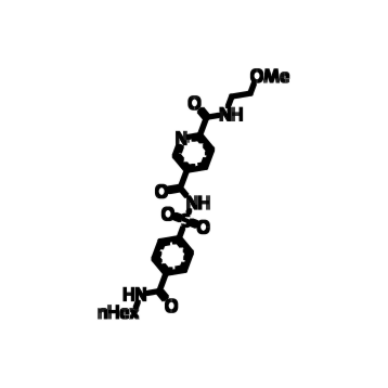 CCCCCCNC(=O)c1ccc(S(=O)(=O)NC(=O)c2ccc(C(=O)NCCOC)nc2)cc1